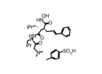 CC(C)C[C@@H](C(=O)NN(CC(C)C)C(=O)CN(C)C)[C@H](CC=Cc1ccccc1)C(=O)NO.Cc1ccc(S(=O)(=O)O)cc1